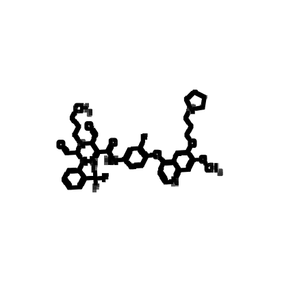 CCCCN1C(C=O)C(C(=O)Nc2ccc(Oc3ccnc4cc(OC)c(OCCCN5CCCC5)cc34)c(F)c2)=NN(c2ccccc2C(F)(F)F)C1C=O